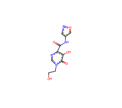 O=C(Nc1cnoc1)c1ncn(CCO)c(=O)c1O